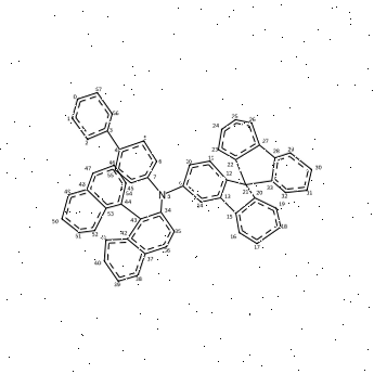 c1ccc(-c2ccc(N(c3ccc4c(c3)-c3ccccc3C43c4ccccc4-c4ccccc43)c3ccc4ccccc4c3-c3cccc4ccccc34)cc2)cc1